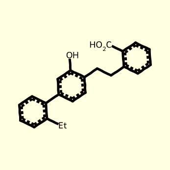 CCc1ccccc1-c1ccc(CCc2ccccc2C(=O)O)c(O)c1